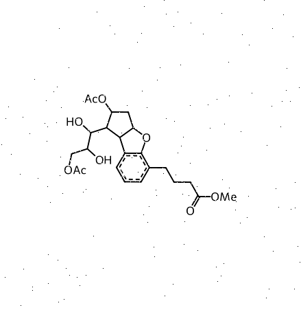 COC(=O)CCCc1cccc2c1OC1CC(OC(C)=O)C(C(O)C(O)COC(C)=O)C21